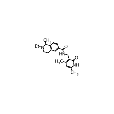 CCN1CCc2cc(C(=O)NCc3c(C)cc(C)[nH]c3=O)ccc2C1C